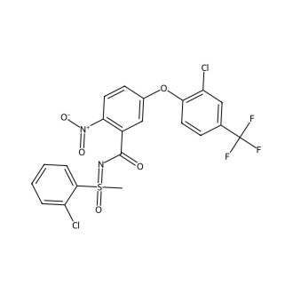 CS(=O)(=NC(=O)c1cc(Oc2ccc(C(F)(F)F)cc2Cl)ccc1[N+](=O)[O-])c1ccccc1Cl